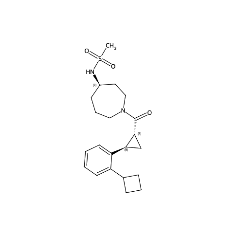 CS(=O)(=O)N[C@@H]1CCCN(C(=O)[C@@H]2C[C@H]2c2ccccc2C2CCC2)CC1